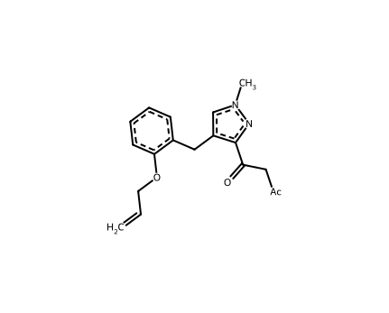 C=CCOc1ccccc1Cc1cn(C)nc1C(=O)CC(C)=O